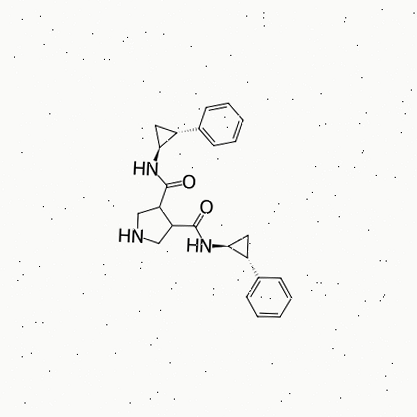 O=C(N[C@H]1C[C@@H]1c1ccccc1)C1CNCC1C(=O)N[C@H]1C[C@@H]1c1ccccc1